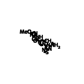 COc1cnc(NC(=O)N2CCN(c3nc(N)nc4scnc34)[C@@H](C)C2)c(C)n1